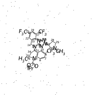 CC(C)OC(=O)N1c2ccc(C(F)(F)F)cc2[C@H](N(Cc2cc(C(F)(F)F)cc(C(F)(F)F)c2)c2nnn([C@H]3CCN(C)C3)n2)C[C@@H]1C